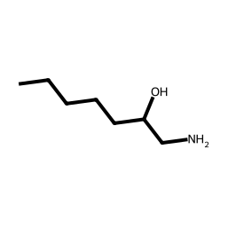 CCCCCC(O)CN